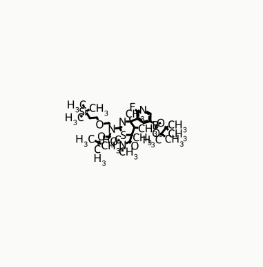 CC1[C@@](C)(C(=O)N(C)C)SC(N(COCC[Si](C)(C)C)C(=O)OC(C)(C)C)=N[C@]1(C)c1cc(B2OC(C)(C)C(C)(C)O2)cnc1F